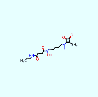 Bc1c(NCCCCCN(O)C(=O)CCC(=O)NCCC)c(=O)c1=O